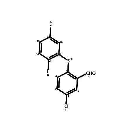 O=Cc1cc(Cl)ccc1Sc1cc(F)ccc1F